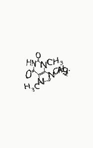 Cn1cnc2c1c(=O)[nH]c(=O)n2C.[Ag].[CH2]